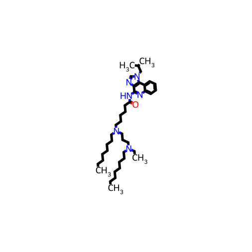 CCCCCCCCN(CC)CCCN(CCCCCCCC)CCCCCC(=O)Nc1nc2ccccc2c2c1ncn2CC(C)C